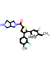 C=C(/C=C(F)\C(=C/C)OC)c1sc(C(=O)N2CC3CNCC3C2)cc1-c1ccc(C#N)c(F)c1